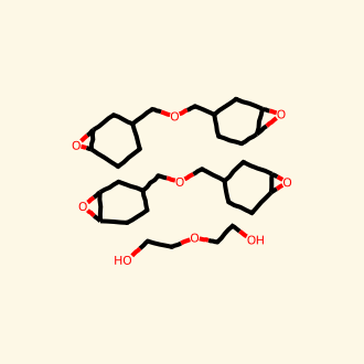 C1CC2OC2CC1COCC1CCC2OC2C1.C1CC2OC2CC1COCC1CCC2OC2C1.OCCOCCO